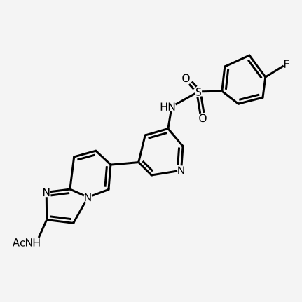 CC(=O)Nc1cn2cc(-c3cncc(NS(=O)(=O)c4ccc(F)cc4)c3)ccc2n1